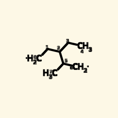 [CH2]CC(CC)C([CH2])C